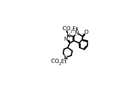 CCOC(=O)N1CCC(c2nn(C)c3c2c2ccccc2c(=O)n3C(=O)OCC)CC1